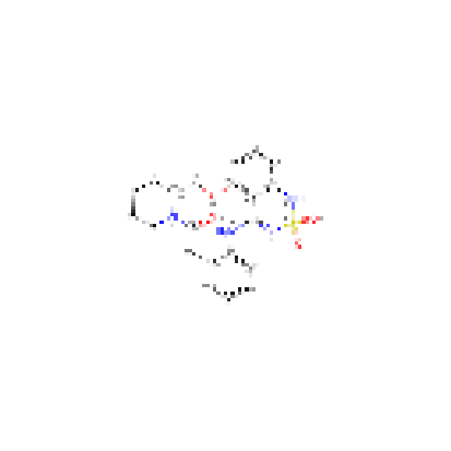 NC1=NS(=O)(=O)Nc2cccc(OC[C@H]3CCCCN3C(=O)Cc3ccccc3)c21